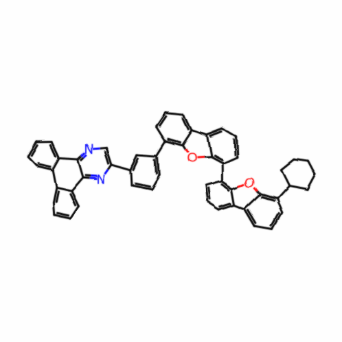 c1cc(-c2cnc3c4ccccc4c4ccccc4c3n2)cc(-c2cccc3c2oc2c(-c4cccc5c4oc4c(C6CCCCC6)cccc45)cccc23)c1